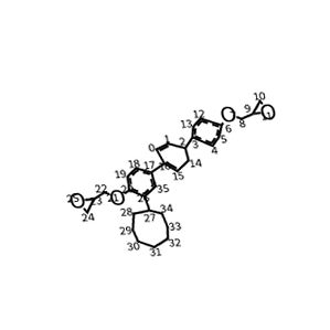 C1=CC(c2ccc(OCC3CO3)cc2)CC=C1c1ccc(OCC2CO2)c(C2CCCCCCC2)c1